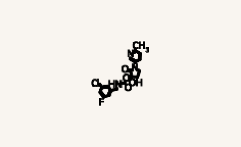 Cc1ccc(N2CC[C@](O)(OC(=O)NCc3cc(F)cc(Cl)c3)C2=O)cn1